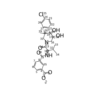 COC(=O)c1cccc(C(=O)N[C@@H](C(=O)N2C[C@@H](O)[C@](O)(c3ccc(Cl)cc3)C(C)(C)C2)C(C)C)c1